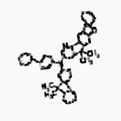 CC1(C)c2ccccc2-c2ccc(N(c3ccc(-c4ccccc4)cc3)c3cnc4c(c3)C(C)(C)c3cc5oc6ccccc6c5cc3-4)cc21